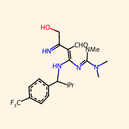 CN/C(=N\C(NC(c1ccc(C(F)(F)F)cc1)C(C)C)=C(/C=O)C(=N)CO)N(C)C